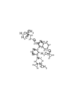 CN1CCN(c2cc(-c3c4cc(OC5(C)CC5)ccc4nn3COCC[Si](C)(C)C)ncn2)CC12CC2